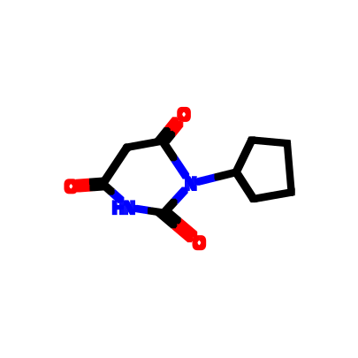 O=C1CC(=O)N(C2CCCC2)C(=O)N1